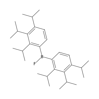 CC(C)c1ccc(B(F)c2ccc(C(C)C)c(C(C)C)c2C(C)C)c(C(C)C)c1C(C)C